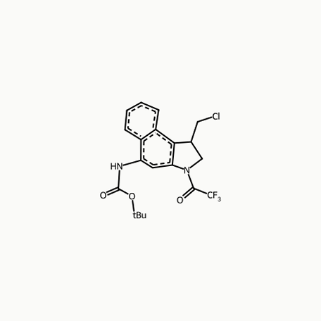 CC(C)(C)OC(=O)Nc1cc2c(c3ccccc13)C(CCl)CN2C(=O)C(F)(F)F